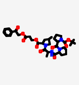 CC1CC(C(=O)OCCC(=O)OCC(=O)c2ccccc2)N(C(=O)C(C)NC(=O)C2CCCCN2C(=O)C2CCCN2C(=O)OC(C)(C)C)C1